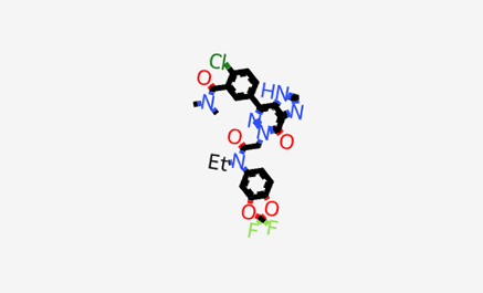 CCN(C(=O)Cn1nc(-c2ccc(Cl)c(C(=O)N(C)C)c2)c2[nH]cnc2c1=O)c1ccc2c(c1)OC(F)(F)O2